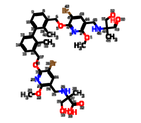 COc1nc(OCc2cccc(-c3cccc(COc4nc(OC)c(CNC(C)(CO)C(=O)O)cc4Br)c3C)c2C)c(Br)cc1CNC(C)(C=O)CO